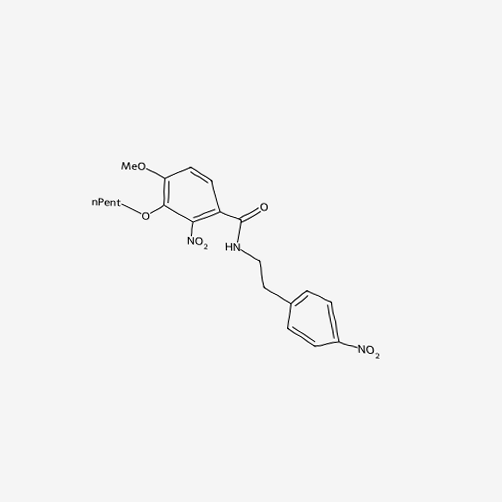 CCCCCOc1c(OC)ccc(C(=O)NCCc2ccc([N+](=O)[O-])cc2)c1[N+](=O)[O-]